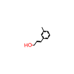 Cc1cccc(C=CCO)c1